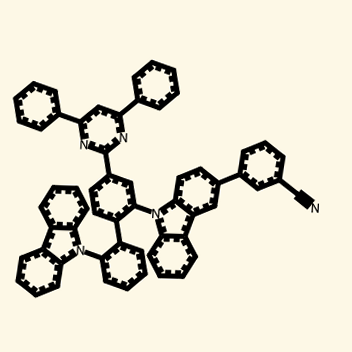 N#Cc1cccc(-c2ccc3c(c2)c2ccccc2n3-c2cc(-c3nc(-c4ccccc4)cc(-c4ccccc4)n3)ccc2-c2ccccc2-n2c3ccccc3c3ccccc32)c1